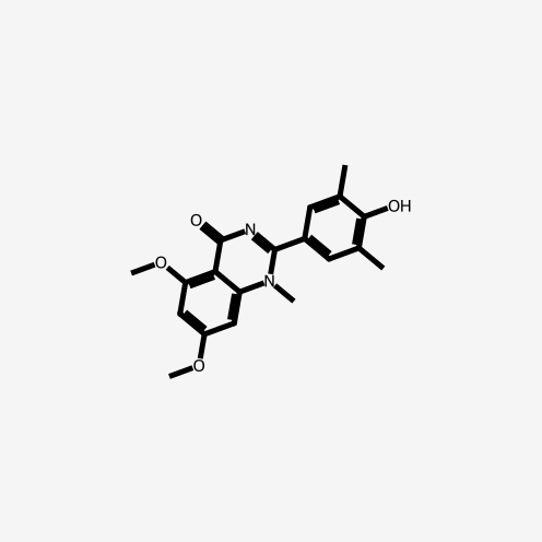 COc1cc(OC)c2c(=O)nc(-c3cc(C)c(O)c(C)c3)n(C)c2c1